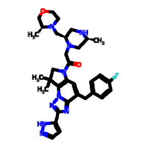 C[C@@H]1CN(CC(=O)N2CC(C)(C)c3c2cc(Cc2ccc(F)cc2)c2nc(-c4ccn[nH]4)nn32)[C@@H](CN2CCOC[C@H]2C)CN1